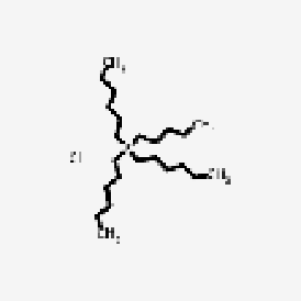 CCCCCC[P+](CCCCC)(CCCCCC)CCCCCC.[Cl-]